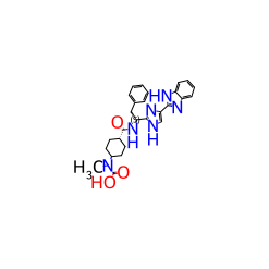 CN(C(=O)O)[C@H]1CC[C@H](C(=O)N[C@@H](Cc2ccccc2)c2nc(-c3nc4ccccc4[nH]3)c[nH]2)CC1